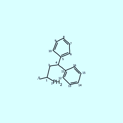 [CH2]C(P)CC(c1ccccc1)c1ccccc1